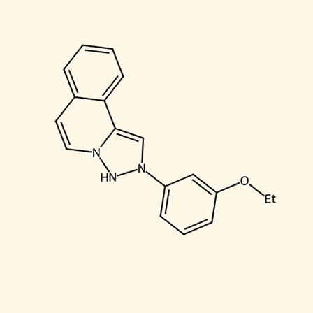 CCOc1cccc(N2C=C3c4ccccc4C=CN3N2)c1